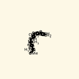 COCCn1ncc(-c2ccc(-c3cnc(C(=O)Nc4ccc(C(=O)N5CCN(C(=O)C6(N)CC[N+](C)(C)CC6)CC5)c(Cl)c4)n3C)c(F)c2F)c1C